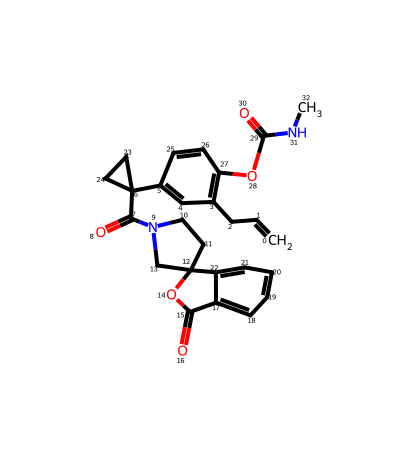 C=CCc1cc(C2(C(=O)N3CCC4(C3)OC(=O)c3ccccc34)CC2)ccc1OC(=O)NC